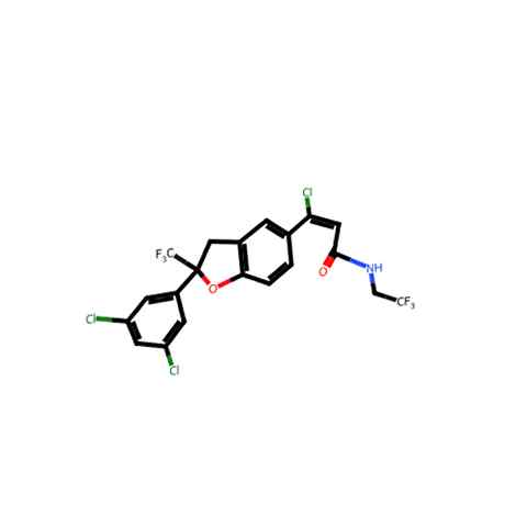 O=C(/C=C(/Cl)c1ccc2c(c1)CC(c1cc(Cl)cc(Cl)c1)(C(F)(F)F)O2)NCC(F)(F)F